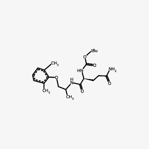 Cc1cccc(C)c1OCC(C)NC(=O)[C@H](CCC(N)=O)NC(=O)OC(C)(C)C